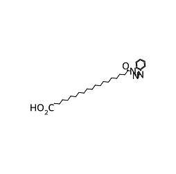 O=C(O)CCCCCCCCCCCCCCCCCCC(=O)n1nnc2ccccc21